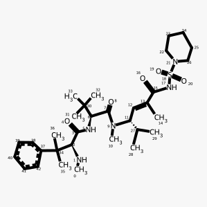 CN[C@H](C(=O)N[C@H](C(=O)N(C)[C@H](/C=C(\C)C(=O)NS(=O)(=O)N1CCCCC1)C(C)C)C(C)(C)C)C(C)(C)c1ccccc1